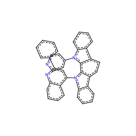 c1ccc(-c2cc(-n3c4ccccc4c4ccc5c6ccccc6n(-c6ccncc6)c5c43)c3ccccc3n2)cc1